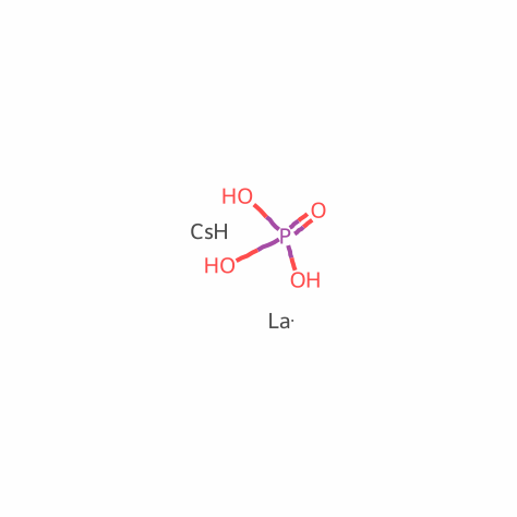 O=P(O)(O)O.[CsH].[La]